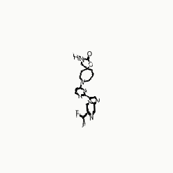 O=C1NCC2(CCCN(c3ccnc(-c4cnc5cnc(C(F)F)cn45)n3)CC2)O1